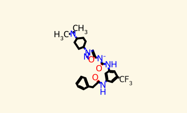 CN(C)C1CCC([n+]2cc([N-]C(=O)Nc3cc(NC(=O)Cc4ccccc4)cc(C(F)(F)F)c3)on2)CC1